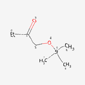 CCC(=O)CO[Si](C)(C)C